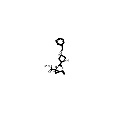 C=CC1C[C@]1(NC(=O)C1C[C@@H](OCc2ccccc2)CN1)C(=O)OC